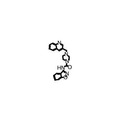 O=C(Nc1noc2ccccc12)N1CCN(Cc2cnc3ccccc3c2)CC1